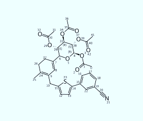 CC(=O)O[C@H]1OC(C2=CC(Cc3ccc(-c4cccc(C#N)c4)s3)=C(C)CC2)[C@H](OC(C)=O)[C@@H](OC(C)=O)[C@@H]1OC(C)=O